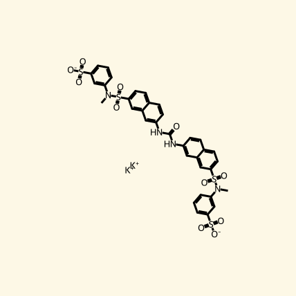 CN(c1cccc(S(=O)(=O)[O-])c1)S(=O)(=O)c1ccc2ccc(NC(=O)Nc3ccc4ccc(S(=O)(=O)N(C)c5cccc(S(=O)(=O)[O-])c5)cc4c3)cc2c1.[K+].[K+]